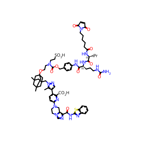 Cc1c(-c2ccc(N3CCn4cnc(C(=O)Nc5nc6ccccc6s5)c4C3)nc2C(=O)O)cnn1CC12CC3(C)CC(C)(C1)CC(OCCN(CCS(=O)(=O)O)C(=O)OCc1ccc(NC(=O)[C@H](CCCNC(N)=O)NC(=O)[C@@H](NC(=O)CCCCCN4C(=O)C=CC4=O)C(C)C)cc1)(C3)C2